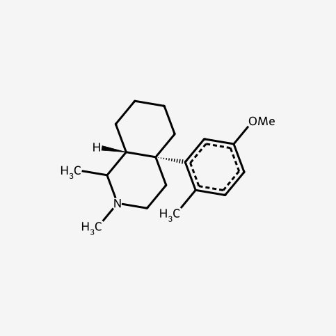 COc1ccc(C)c([C@@]23CCCC[C@H]2C(C)N(C)CC3)c1